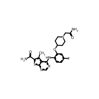 Cc1c(C(N)=O)sc2ncnc(Nc3ccc(F)cc3OC3CCN(CC(N)=O)CC3)c12